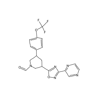 O=CN1CC(c2ccc(OC(F)(F)F)cc2)CC(c2nc(-c3cnccn3)no2)C1